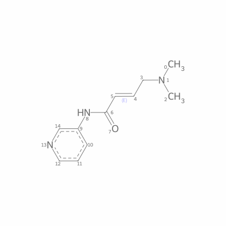 CN(C)C/C=C/C(=O)Nc1cccnc1